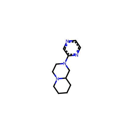 c1cnc(N2CCN3CCCCC3C2)cn1